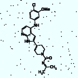 COc1cc(Nc2ccnc3[nH]c(C4=CCN(C(=O)N=C(C)C)CC4)cc23)ccc1Cl